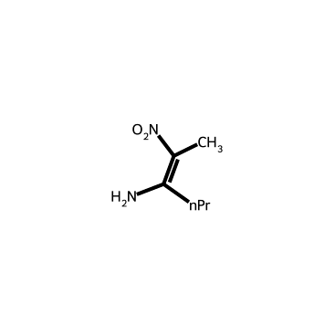 CCCC(N)=C(C)[N+](=O)[O-]